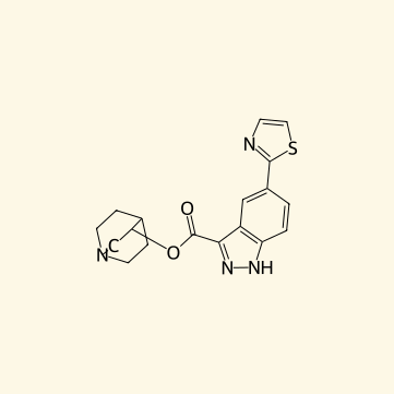 O=C(OC1CN2CCC1CC2)c1n[nH]c2ccc(-c3nccs3)cc12